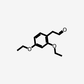 CCOc1ccc(CC=O)c(OCC)c1